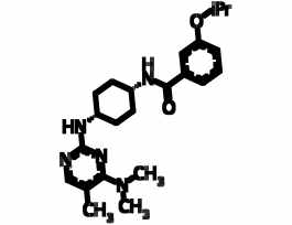 Cc1cnc(N[C@H]2CC[C@@H](NC(=O)c3cccc(OC(C)C)c3)CC2)nc1N(C)C